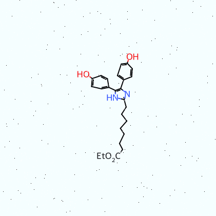 CCOC(=O)CCCCCCCc1nc(-c2ccc(O)cc2)c(-c2ccc(O)cc2)[nH]1